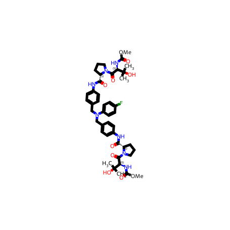 COC(=O)N[C@H](C(=O)N1CCC[C@H]1C(=O)Nc1ccc(CN(Cc2ccc(NC(=O)[C@@H]3CCCN3C(=O)[C@@H](NC(=O)OC)C(C)(C)O)cc2)c2ccc(F)cc2)cc1)C(C)(C)O